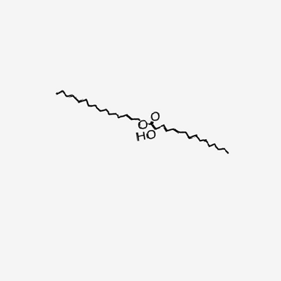 CCCCCCCCCCCCCCCCOC(=O)C(O)CCCCCCCCCCCCCC